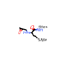 CCCCCCNC(=O)C(CCSC)NCC1CO1